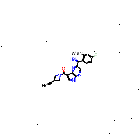 C#CC1CN(C(=O)c2c[nH]c3ncc(C(=N)c4ccc(F)cc4NC)nc23)C1